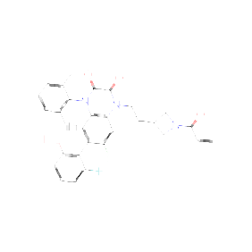 C=CC(=O)N1CC(CCn2c(=O)c(=O)n(-c3c(C)cccc3C(C)C)c3cc(-c4c(O)cccc4F)c(Cl)cc32)C1